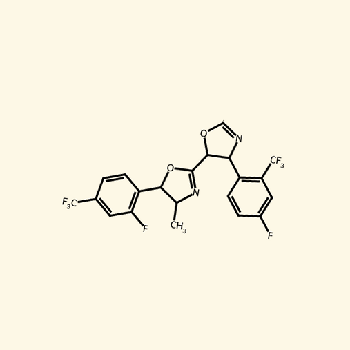 CC1N=C(C2O[C]=NC2c2ccc(F)cc2C(F)(F)F)OC1c1ccc(C(F)(F)F)cc1F